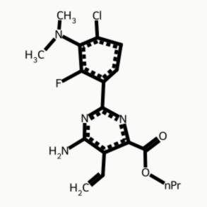 C=Cc1c(N)nc(-c2ccc(Cl)c(N(C)C)c2F)nc1C(=O)OCCC